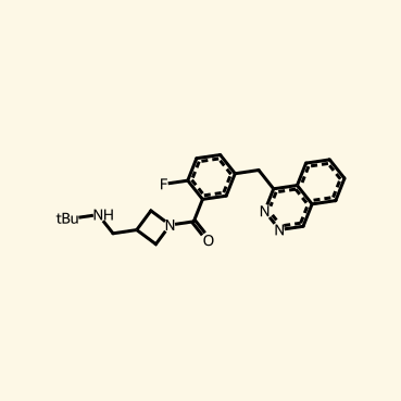 CC(C)(C)NCC1CN(C(=O)c2cc(Cc3nncc4ccccc34)ccc2F)C1